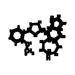 COc1ccccc1C1CCN(c2c3c(nc4ccnn24)CCNCC3)C1